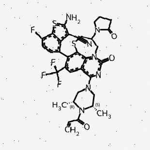 C=CC(=O)N1[C@H](C)CN(c2nc(=O)n3c4c(c(-c5ccc(F)c6sc(N)c(C#N)c56)c(C(F)(F)F)cc24)SCC(N2CCCC2=O)C3)C[C@@H]1C